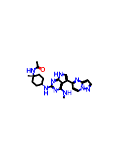 CNc1nc(N[C@H]2CC[C@@](C)(NC(C)=O)CC2)nc2[nH]cc(-c3ccn4nccc4n3)c12